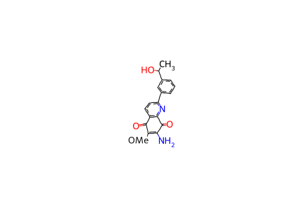 COC1=C(N)C(=O)c2nc(-c3cccc(C(C)O)c3)ccc2C1=O